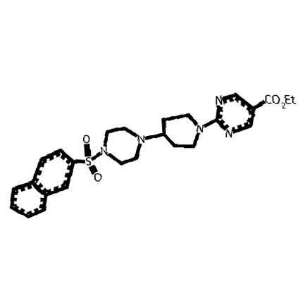 CCOC(=O)c1cnc(N2CCC(N3CCN(S(=O)(=O)c4ccc5ccccc5c4)CC3)CC2)nc1